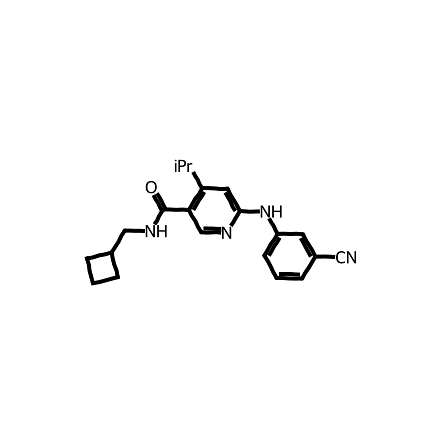 CC(C)c1cc(Nc2cccc(C#N)c2)ncc1C(=O)NCC1CCC1